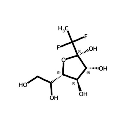 CC(F)(F)[C@]1(O)O[C@@H](C(O)CO)[C@H](O)[C@H]1O